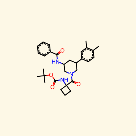 Cc1ccc(C2CC(NC(=O)c3ccccc3)CN(C(=O)C3(NC(=O)OC(C)(C)C)CCC3)C2)cc1C